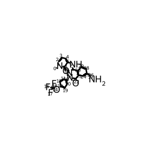 Cn1cccc(Nc2nn(-c3ccc(OC(F)(F)F)cc3)c(=O)c3cc(CN)ccc23)c1=O